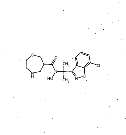 CC(C)(c1noc2c(Cl)cccc12)N(O)C(=O)C1CNCCOC1